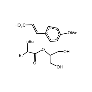 CCCCC(CC)C(=O)OC(CO)CO.COc1ccc(C=CC(=O)O)cc1